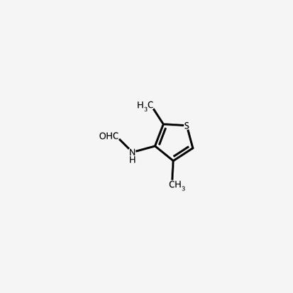 Cc1csc(C)c1NC=O